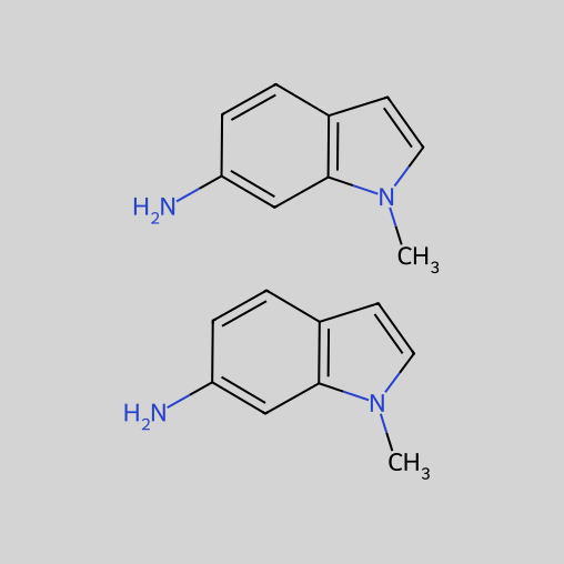 Cn1ccc2ccc(N)cc21.Cn1ccc2ccc(N)cc21